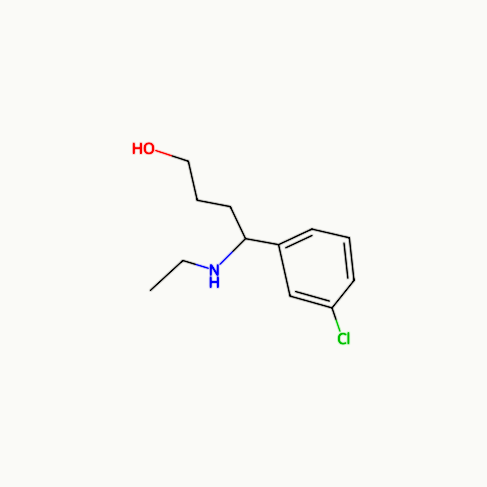 CCNC(CCCO)c1cccc(Cl)c1